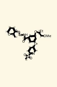 CCC(COC)Oc1cc(Oc2ccc(S(C)(=O)=O)nc2)cc(C(=O)NN=NC2=CC=COC2C)c1